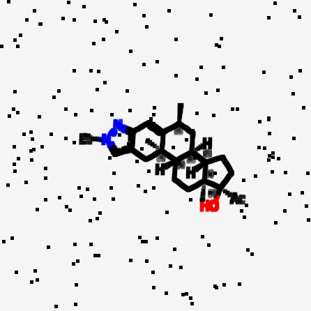 CCn1cc2c(n1)C=C1[C@@H](C)C[C@@H]3[C@H](CC[C@@]4(C)[C@H]3CC[C@]4(O)C(C)=O)[C@@]1(C)C2